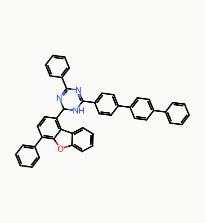 c1ccc(C2=NC(c3ccc(-c4ccccc4)c4oc5ccccc5c34)NC(c3ccc(-c4ccc(-c5ccccc5)cc4)cc3)=N2)cc1